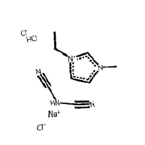 CC[n+]1ccn(C)c1.Cl.N#CNC#N.[Cl-].[Cl-].[Na+]